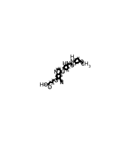 COc1ccc(NC(=O)Nc2ccc(Oc3ccnc4cc(OCCCC(=O)O)c(C#N)cc34)cc2)cc1